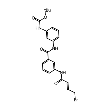 CC(C)(C)OC(=O)Nc1cccc(NC(=O)c2cccc(NC(=O)C=CCBr)c2)c1